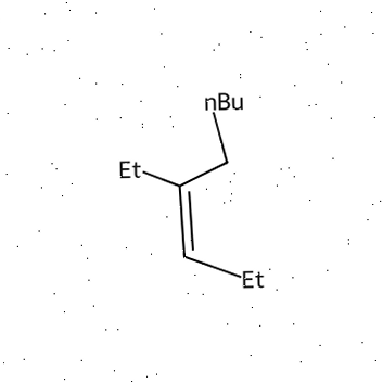 CCC=C(CC)CCCCC